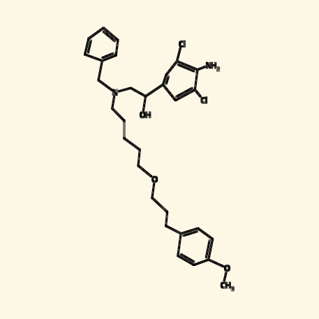 COc1ccc(CCCOCCCCCN(Cc2ccccc2)CC(O)c2cc(Cl)c(N)c(Cl)c2)cc1